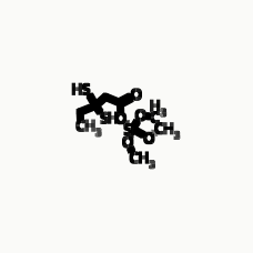 CCC(S)(S)CC(=O)O[Si](OC)(OC)OC